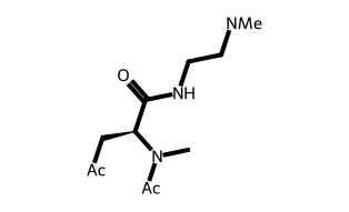 CNCCNC(=O)[C@H](CC(C)=O)N(C)C(C)=O